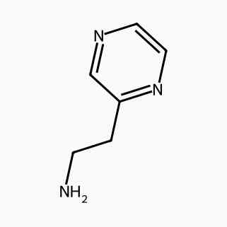 NCCc1cnccn1